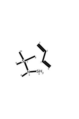 C=CC=C.CN([SiH3])[Si](C)(C)C